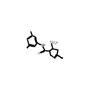 CC1=CCC(C(=O)Nc2cc(C)cc(C)c2)C(C(=O)O)C1